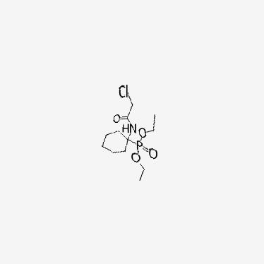 CCOP(=O)(OCC)C1(NC(=O)CCl)CCCCC1